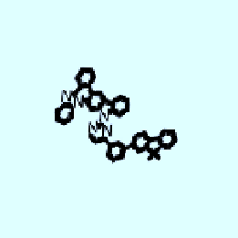 CC1(C)c2ccccc2-c2ccc(-c3cccc(-c4ccnc(-n5c6ccccc6c6cc7c8ccccc8c8nc9ccccc9n8c7cc65)n4)c3)cc21